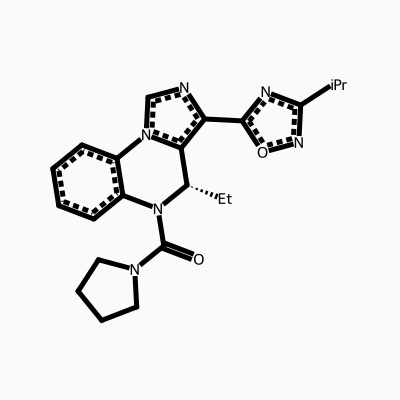 CC[C@H]1c2c(-c3nc(C(C)C)no3)ncn2-c2ccccc2N1C(=O)N1CCCC1